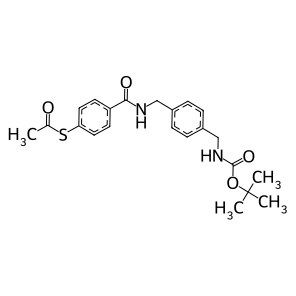 CC(=O)Sc1ccc(C(=O)NCc2ccc(CNC(=O)OC(C)(C)C)cc2)cc1